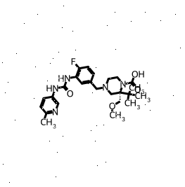 COC[C@]1(C(C)(C)C)CN(Cc2ccc(F)c(NC(=O)Nc3ccc(C)nc3)c2)CCN1C(=O)O